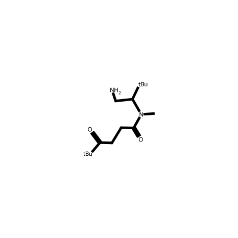 CN(C(=O)CCC(=O)C(C)(C)C)C(CN)C(C)(C)C